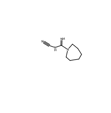 N#CNC(=N)N1CCCCCC1